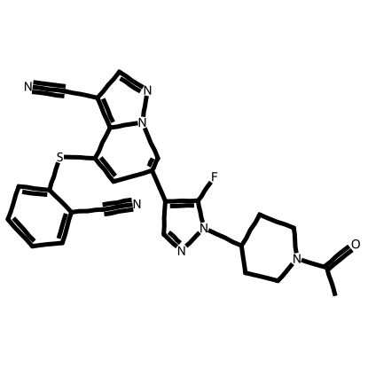 CC(=O)N1CCC(n2ncc(-c3cc(Sc4ccccc4C#N)c4c(C#N)cnn4c3)c2F)CC1